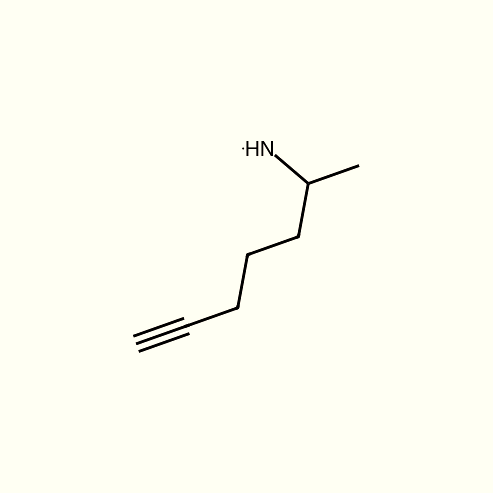 C#CCCCC(C)[NH]